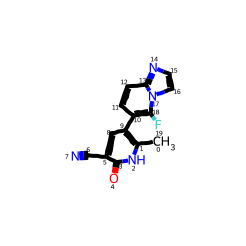 Cc1[nH]c(=O)c(C#N)cc1-c1ccc2nccn2c1F